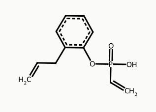 C=CCc1ccccc1OP(=O)(O)C=C